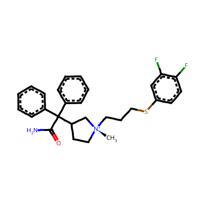 C[N@@+]1(CCCSc2ccc(F)c(F)c2)CCC(C(C(N)=O)(c2ccccc2)c2ccccc2)C1